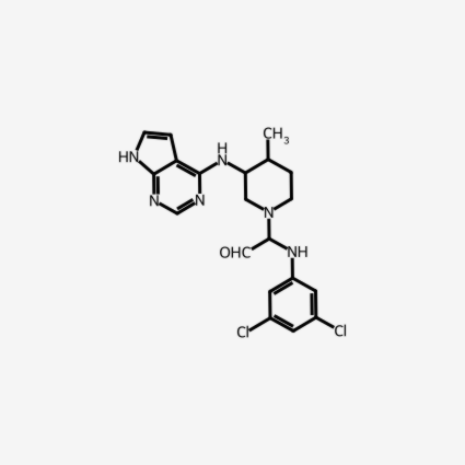 CC1CCN(C(C=O)Nc2cc(Cl)cc(Cl)c2)CC1Nc1ncnc2[nH]ccc12